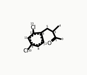 CC(=O)C(C)Cc1ccc(Cl)cc1Cl